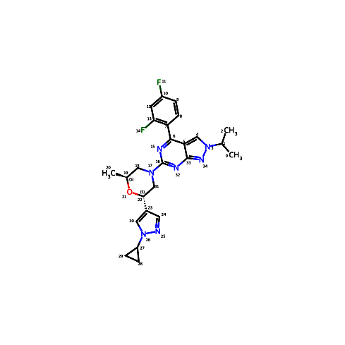 CC(C)n1cc2c(-c3ccc(F)cc3F)nc(N3C[C@H](C)O[C@@H](c4cnn(C5CC5)c4)C3)nc2n1